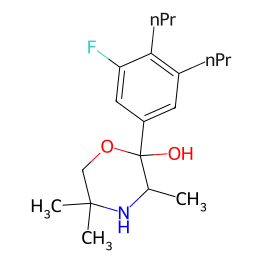 CCCc1cc(C2(O)OCC(C)(C)NC2C)cc(F)c1CCC